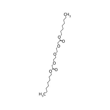 CCCCCCCCOC(=O)COCCOCCOCC(=O)OCCCCCCCC